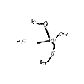 CCO[PH](C)(O)OCC.O